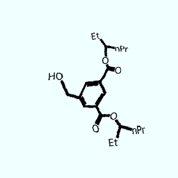 CCCC(CC)OC(=O)c1cc(CO)cc(C(=O)OC(CC)CCC)c1